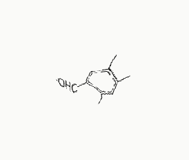 Cc1cc(C)c([C]=O)cc1C